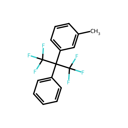 Cc1cccc(C(c2ccccc2)(C(F)(F)F)C(F)(F)F)c1